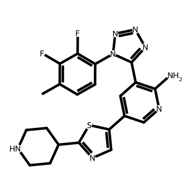 Cc1ccc(-n2nnnc2-c2cc(-c3cnc(C4CCNCC4)s3)cnc2N)c(F)c1F